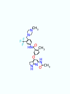 CC(=O)Nc1cc(Oc2ccc(C)c(C(=O)Nc3ccc(CN4CCN(C)CC4)c(C(F)(F)F)c3)c2)c2c(n1)NCC2